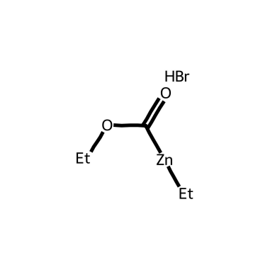 Br.CCO[C](=O)[Zn][CH2]C